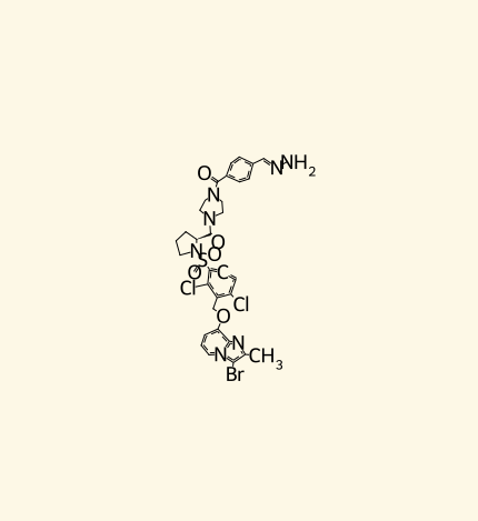 Cc1nc2c(OCc3c(Cl)ccc(S(=O)(=O)N4CCC[C@H]4C(=O)N4CCN(C(=O)c5ccc(C=NN)cc5)CC4)c3Cl)cccn2c1Br